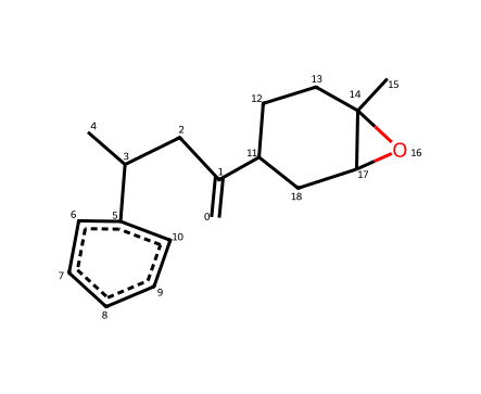 C=C(CC(C)c1ccccc1)C1CCC2(C)OC2C1